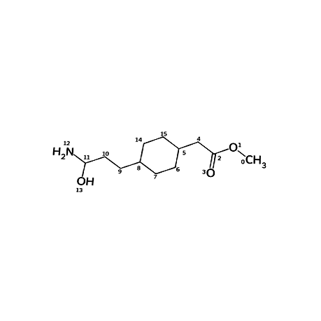 COC(=O)CC1CCC(CCC(N)O)CC1